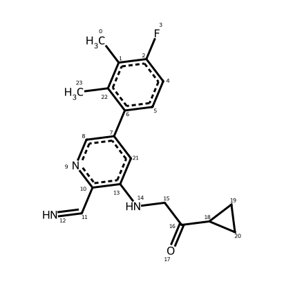 Cc1c(F)ccc(-c2cnc(C=N)c(NCC(=O)C3CC3)c2)c1C